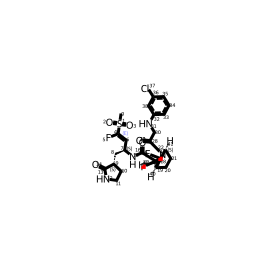 CS(=O)(=O)/C(F)=C/[C@H](C[C@@H]1CCNC1=O)NC(=O)[C@H]1[C@@H]2CC[C@@H](CC2(F)F)N1C(=O)CNc1cccc(Cl)c1